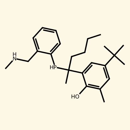 CCCCC(C)(Pc1ccccc1CNC)c1cc(C(C)(C)C)cc(C)c1O